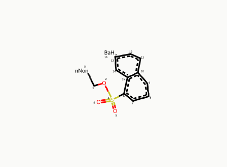 CCCCCCCCCCOS(=O)(=O)c1cccc2ccccc12.[BaH2]